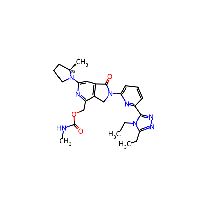 CCc1nnc(-c2cccc(N3Cc4c(cc(N5CCC[C@H]5C)nc4COC(=O)NC)C3=O)n2)n1CC